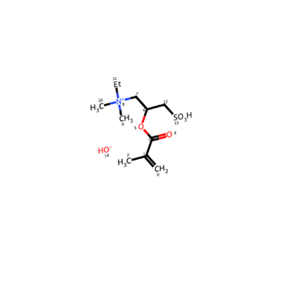 C=C(C)C(=O)OC(C[N+](C)(C)CC)CS(=O)(=O)O.[OH-]